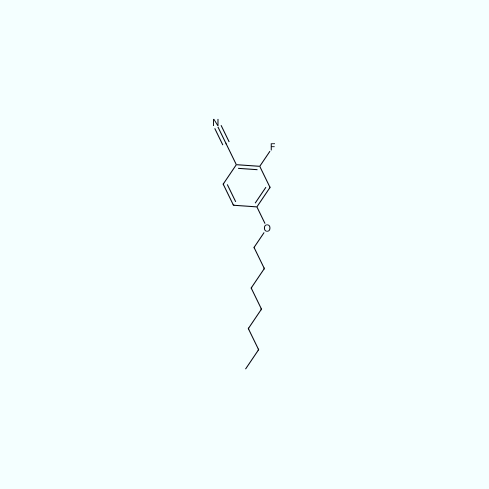 CCCCCCCOc1ccc(C#N)c(F)c1